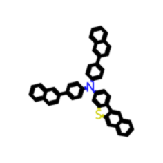 c1ccc2cc(-c3ccc(N(c4ccc(-c5ccc6ccccc6c5)cc4)c4ccc5c(c4)sc4cc6ccccc6cc45)cc3)ccc2c1